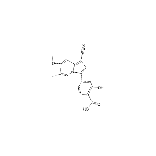 COc1cc2c(C#N)cc(-c3ccc(C(=O)O)c(O)c3)n2cc1C